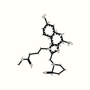 COC(=O)CCCn1c(CN2CCCC2=O)nc2c(N)nc3cc(Cl)ccc3c21